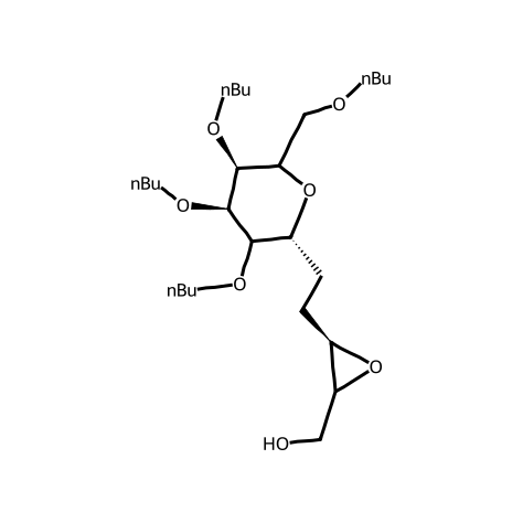 CCCCOCC1O[C@H](CC[C@H]2OC2CO)C(OCCCC)[C@@H](OCCCC)[C@H]1OCCCC